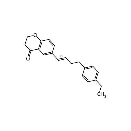 CCc1ccc(CC/C=C/c2ccc3c(c2)C(=O)CCO3)cc1